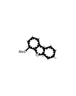 CSc1cccc2c1oc1ccccc12